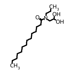 CCCCCCCCCCCCCC(=O)N(CCC)CC(O)O